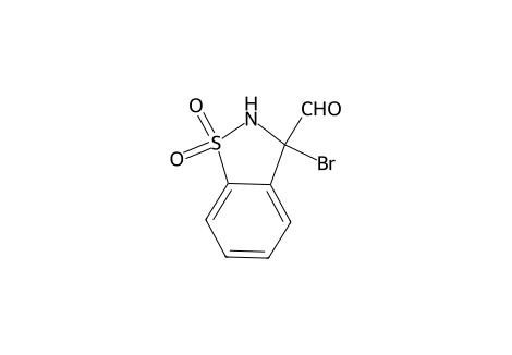 O=CC1(Br)NS(=O)(=O)c2ccccc21